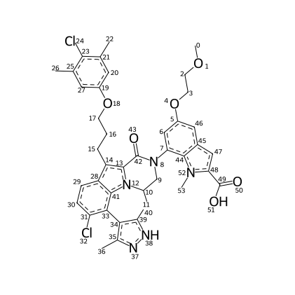 COCCOc1cc(N2CC(C)n3c(c(CCCOc4cc(C)c(Cl)c(C)c4)c4ccc(Cl)c(-c5c(C)n[nH]c5C)c43)C2=O)c2c(c1)cc(C(=O)O)n2C